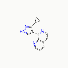 c1cnc2c(-c3c[nH]nc3C3CC3)nccc2c1